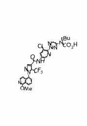 COc1nccc2c(-n3ncc(C(=O)Nc4cnc(-n5ncc(N(C(=O)O)C(C)(C)C)n5)c(Cl)c4)c3C(F)(F)F)cccc12